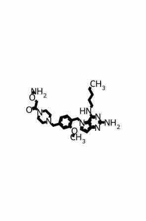 CCCCCNc1nc(N)nc2ccn(Cc3ccc(CN4CCN(C(=O)CON)CC4)cc3OC)c12